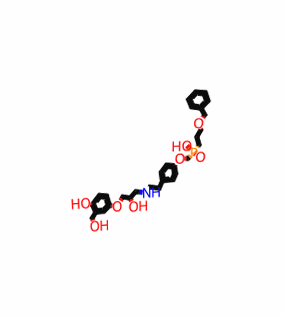 O=P(O)(CCCOCc1ccccc1)COc1ccc(CCNCC(O)COc2ccc(O)c(CO)c2)cc1